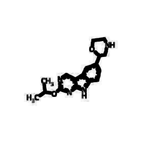 CC(C)Oc1ncc2c(n1)[nH]c1ccc(C3CNCCO3)cc12